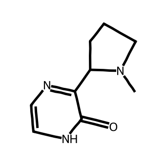 CN1CCCC1c1ncc[nH]c1=O